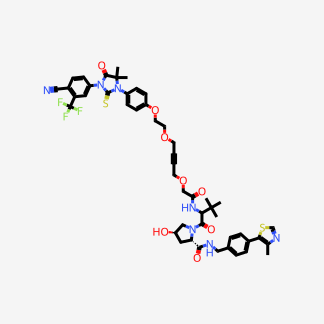 Cc1ncsc1-c1ccc(CNC(=O)[C@@H]2C[C@@H](O)CN2C(=O)C(NC(=O)COCC#CCOCCOc2ccc(N3C(=S)N(c4ccc(C#N)c(C(F)(F)F)c4)C(=O)C3(C)C)cc2)C(C)(C)C)cc1